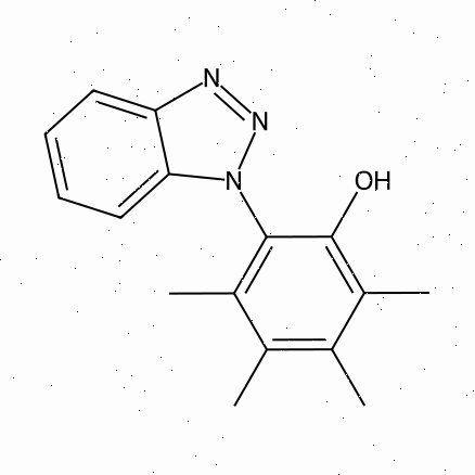 Cc1c(C)c(C)c(-n2nnc3ccccc32)c(O)c1C